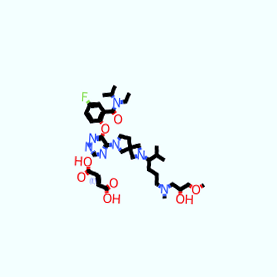 CCN(C(=O)c1cc(F)ccc1Oc1nncnc1N1CCC2(C1)CN(C(CCCN(C)CC(O)COC)C(C)C)C2)C(C)C.O=C(O)/C=C/C(=O)O